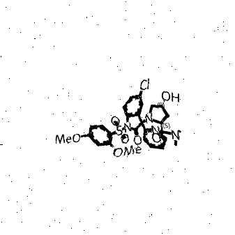 COc1ccc(S(=O)(=O)N2C(=O)C(c3ccccn3)(N3C[C@H](O)C[C@H]3C(=O)N(C)C)c3cc(Cl)ccc32)c(OC)c1